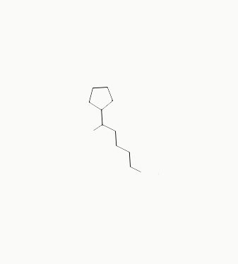 [CH2]C(CCCCCCCCCC)C1CCCC1